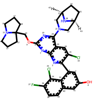 Oc1cc(-c2nc3nc(OCC45CCCN4CCC5)nc(N4C[C@H]5CC[C@@H](C4)N5)c3cc2Cl)c2c(Cl)c(F)ccc2c1